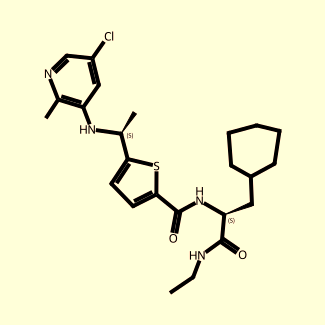 CCNC(=O)[C@H](CC1CCCCC1)NC(=O)c1ccc([C@H](C)Nc2cc(Cl)cnc2C)s1